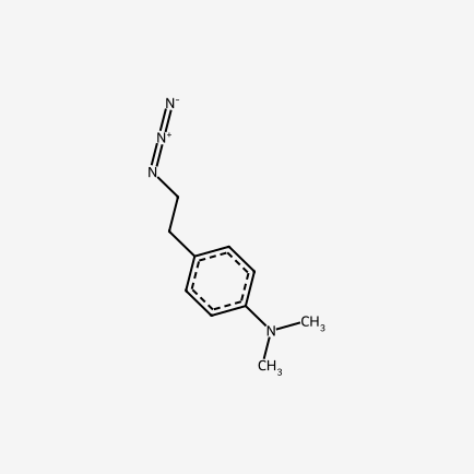 CN(C)c1ccc(CCN=[N+]=[N-])cc1